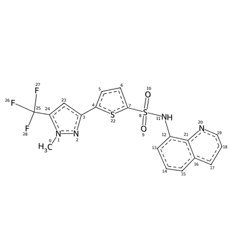 Cn1nc(-c2ccc(S(=O)(=O)Nc3cccc4cccnc34)s2)cc1C(F)(F)F